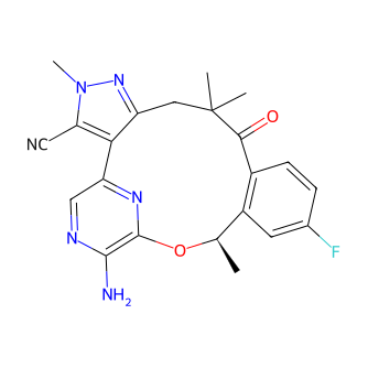 C[C@H]1Oc2nc(cnc2N)-c2c(nn(C)c2C#N)CC(C)(C)C(=O)c2ccc(F)cc21